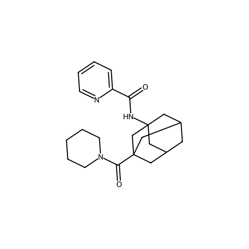 O=C(NC12CC3CC(C1)CC(C(=O)N1CCCCC1)(C3)C2)c1ccccn1